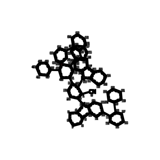 N#Cc1c(-n2c3ccccc3c3cc(-c4ccccc4-c4ccccc4)ccc32)ccc(-c2cc(-c3ccccc3)nc(-c3ccccc3)c2)c1-n1c2ccccc2c2cc(-c3ccccc3-c3ccccc3)ccc21